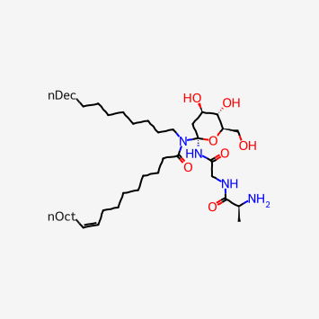 CCCCCCCC/C=C\CCCCCCCC(=O)N(CCCCCCCCCCCCCCCCCC)[C@@]1(NC(=O)CNC(=O)[C@H](C)N)C[C@@H](O)[C@H](O)[C@@H](CO)O1